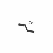 C=CC=C.[Co]